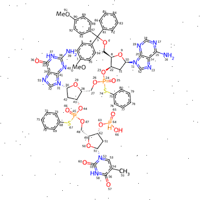 COc1ccc(C(OC[C@H]2O[C@@H](n3cnc4c(N)ncnc43)C[C@H]2OP(=O)(OC[C@H]2O[C@@H](n3cnc4c(=O)[nH]c(N)nc43)C[C@H]2OP(=O)(OC[C@H]2O[C@@H](n3cc(C)c(=O)[nH]c3=O)C[C@H]2O[PH](=O)O)Sc2ccccc2)Sc2ccccc2)(c2ccccc2)c2ccc(OC)cc2)cc1